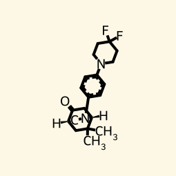 CC1(C)C[C@H]2CN(c3ccc(N4CCC(F)(F)CC4)cc3)[C@@H]1CC2=O